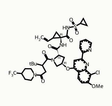 C=CC1C[C@]1(NC(=O)[C@@H]1C[C@@H](Oc2cc(-c3ccccn3)nc3c(Cl)c(OC)ccc23)CN1C(=O)C(CC(=O)N1CCC(C(F)(F)F)CC1)C(C)(C)C)C(=O)NS(=O)(=O)C1CC1